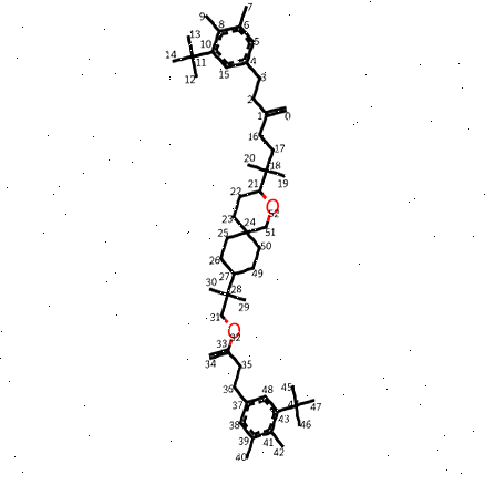 C=C(CCc1cc(C)c(C)c(C(C)(C)C)c1)CCC(C)(C)C1CCC2(CCC(C(C)(C)COC(=C)CCc3cc(C)c(C)c(C(C)(C)C)c3)CC2)CO1